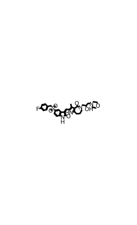 Cc1c(/C=C2\C(=O)Nc3ccc(S(=O)(=O)Cc4ccc(F)cc4)cc32)[nH]c2c1C(=O)N(CC(O)CN1CCOCC1)CCC2